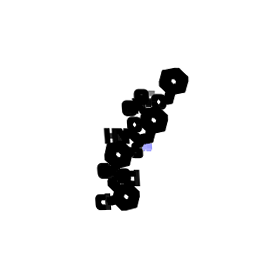 O=C1Nc2ccc(S(=O)(=O)Cc3c(Cl)cccc3Cl)cc2S/C1=C/c1ccc(OCc2ccccc2)c([N+](=O)[O-])c1